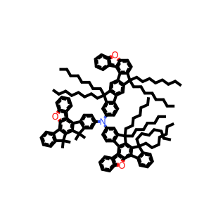 CCCCCCCCC1(CCCCCCCC)c2cc(N(c3ccc4c(c3)C(C)(C)c3c5c(c6oc7ccccc7c6c3-4)-c3ccccc3C5(C)C)c3ccc4c(c3)C(CCCCCCC)(CCCCCCC)c3c5c(c6oc7ccccc7c6c3-4)-c3ccccc3C5(CCCCCCC)CCCCCCC)ccc2-c2cc3c(cc21)-c1c(ccc2oc4ccccc4c12)C3(CCCCCCCC)CCCCCCCC